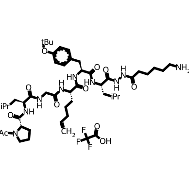 C=CCCC[C@H](NC(=O)CNC(=O)[C@H](CC(C)C)NC(=O)[C@@H]1CCCN1C(C)=O)C(=O)N[C@@H](Cc1ccc(OC(C)(C)C)cc1)C(=O)N[C@@H](CC(C)C)C(=O)NNC(=O)CCCCCN.O=C(O)C(F)(F)F